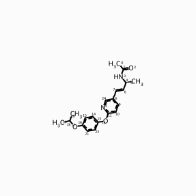 CC(=O)N[C@@H](C)/C=C/c1ccc(Oc2ccc(OC(C)C)cc2)nc1